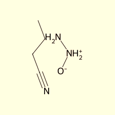 CCCC#N.N[NH2+][O-]